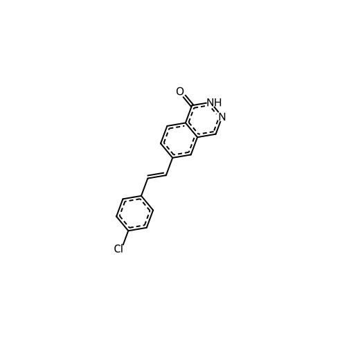 O=c1[nH]ncc2cc(C=Cc3ccc(Cl)cc3)ccc12